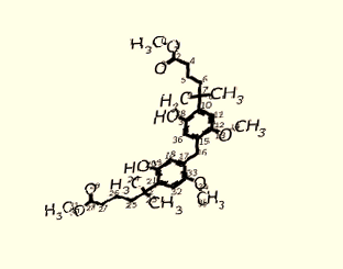 COC(=O)CCCC(C)(C)c1cc(OC)c(Cc2cc(O)c(C(C)(C)CCCC(=O)OC)cc2OC)cc1O